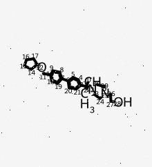 CC(C)(c1ccc(-c2ccc(COC3CCCC3)cc2)cc1)N1CCN(CCO)CC1